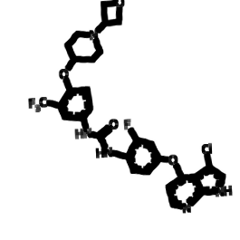 O=C(Nc1ccc(OC2CCN(C3COC3)CC2)c(C(F)(F)F)c1)Nc1ccc(Oc2ccnc3[nH]cc(Cl)c23)cc1F